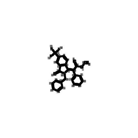 COC(=O)/C(=C1\c2ccc(C(F)(F)F)cc2C(=O)N1Cc1ccccc1)c1ccccc1